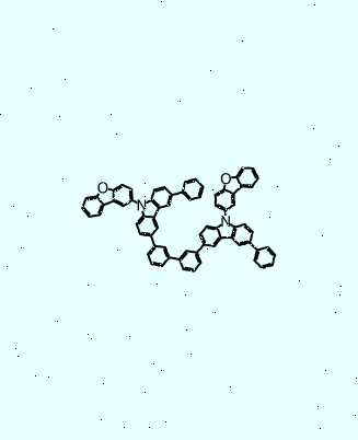 c1ccc(-c2ccc3c(c2)c2cc(-c4cccc(-c5cccc(-c6ccc7c(c6)c6cc(-c8ccccc8)ccc6n7-c6ccc7oc8ccccc8c7c6)c5)c4)ccc2n3-c2ccc3oc4ccccc4c3c2)cc1